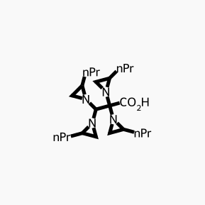 CCCC1CN1C(N1CC1CCC)C(C(=O)O)(N1CC1CCC)N1CC1CCC